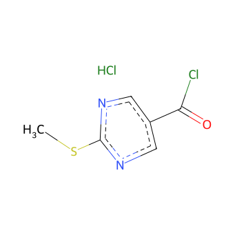 CSc1ncc(C(=O)Cl)cn1.Cl